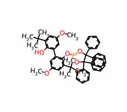 COc1cc(-c2cc(OC)cc(C(C)(C)C)c2OP2OC(c3ccccc3)(c3ccccc3)C(c3ccccc3)(c3ccccc3)O2)c(O)c(C(C)(C)C)c1